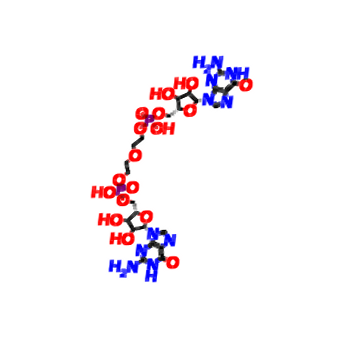 Nc1nc2c(ncn2[C@@H]2O[C@H](COP(=O)(O)OCCOCCOP(=O)(O)OC[C@@H]3O[C@H](n4cnc5c(=O)[nH]c(N)nc54)C(O)C3O)C(O)C2O)c(=O)[nH]1